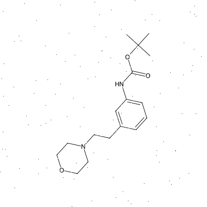 CC(C)(C)OC(=O)Nc1cccc(CCN2CCOCC2)c1